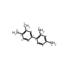 Cc1cc(-c2ccc(N)cc2N)ccc1N